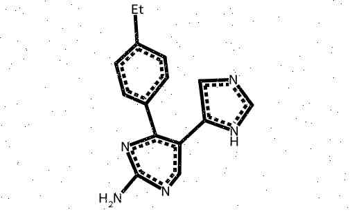 CCc1ccc(-c2nc(N)ncc2-c2cnc[nH]2)cc1